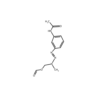 CC(=O)Nc1cccc(/N=N/N(C)COC=O)c1